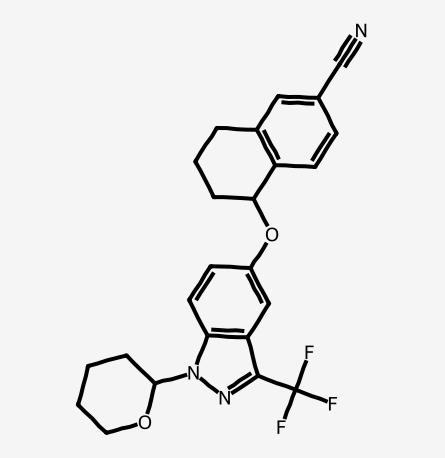 N#Cc1ccc2c(c1)CCCC2Oc1ccc2c(c1)c(C(F)(F)F)nn2C1CCCCO1